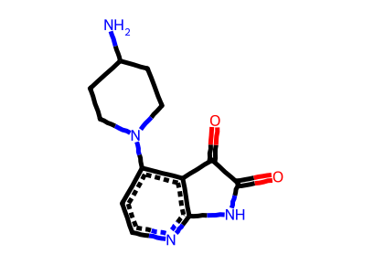 NC1CCN(c2ccnc3c2C(=O)C(=O)N3)CC1